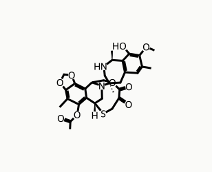 COc1c(C)cc2c(c1O)[C@H](C)NC[C@](C)(N1C[C@@H]3SCC(=O)C(=O)OCC1c1c4c(c(C)c(OC(C)=O)c13)OCO4)C2